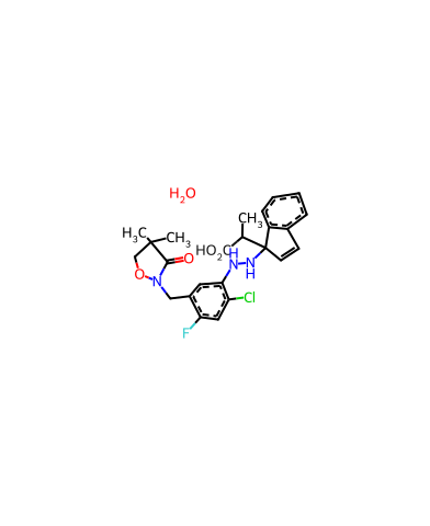 CC(C(=O)O)C1(NNc2cc(CN3OCC(C)(C)C3=O)c(F)cc2Cl)C=Cc2ccccc21.O